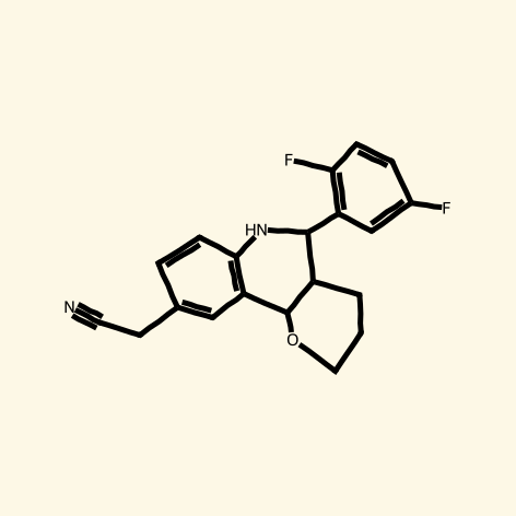 N#CCc1ccc2c(c1)C1OCCCC1C(c1cc(F)ccc1F)N2